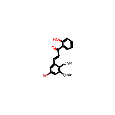 COc1cc(Br)cc(C=CC(=O)c2ccccc2O)c1OC